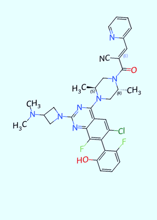 C[C@@H]1CN(c2nc(N3CC(N(C)C)C3)nc3c(F)c(-c4c(O)cccc4F)c(Cl)cc23)[C@@H](C)CN1C(=O)/C(C#N)=C/c1ccccn1